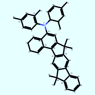 CC1=CC(C)C(N(c2ccc(C)cc2C)c2cc3c(c4c2=CCCC=4)-c2cc4c(cc2C3(C)C)-c2ccccc2C4(C)C)C=C1